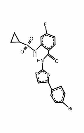 O=C(Nc1nc(-c2ccc(Br)cc2)cs1)c1ccc(F)cc1NS(=O)(=O)C1CC1